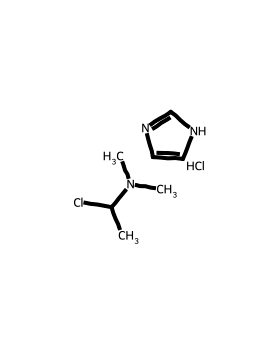 CC(Cl)N(C)C.Cl.c1c[nH]cn1